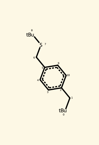 CC(C)(C)Cc1ccc(CSC(C)(C)C)cc1